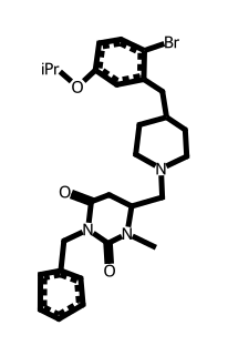 CC(C)Oc1ccc(Br)c(CC2CCN(CC3CC(=O)N(Cc4ccccc4)C(=O)N3C)CC2)c1